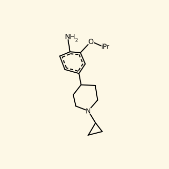 CC(C)Oc1cc(C2CCN(C3CC3)CC2)ccc1N